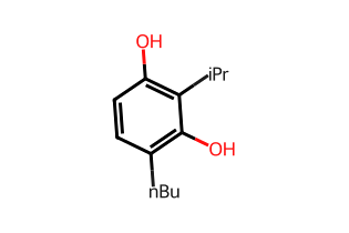 CCCCc1ccc(O)c(C(C)C)c1O